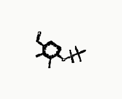 Cc1c(C=O)ccc(O[Si](C)(C)C(C)(C)C)c1C